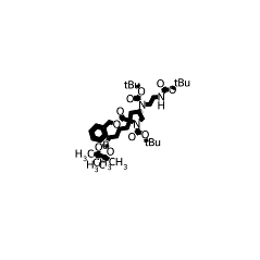 CC(C)(C)OC(=O)NCCN(C(=O)OC(C)(C)C)[C@H]1CN(C(=O)OC(C)(C)C)C(CCCCB2OC(C)(C)C(C)(C)O2)(C(=O)OCc2ccccc2)C1